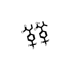 CC(C)C(C(=O)O)c1ccc(C(F)(F)F)cc1.CCC(C(=O)Cl)c1ccc(C(F)(F)F)cc1